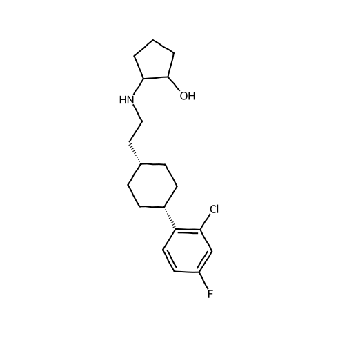 OC1CCCC1NCC[C@H]1CC[C@@H](c2ccc(F)cc2Cl)CC1